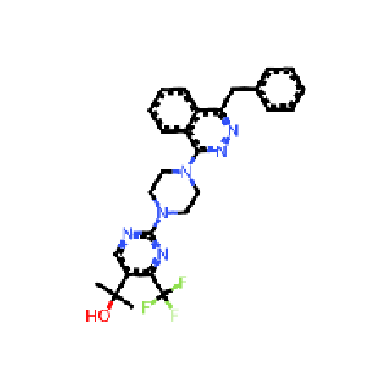 CC(C)(O)c1cnc(N2CCN(c3nnc(Cc4ccccc4)c4ccccc34)CC2)nc1C(F)(F)F